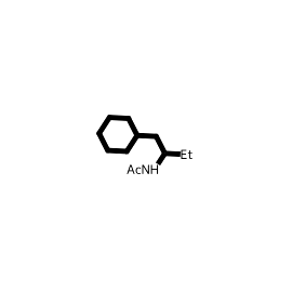 CCC(CC1CCCCC1)NC(C)=O